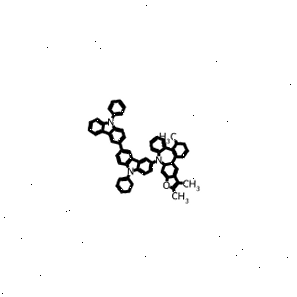 Cc1oc2c(c1C)=CC1C3=C(c4ccccc4N(c4ccc5c(c4)c4cc(-c6ccc7c(c6)c6ccccc6n7-c6ccccc6)ccc4n5C4=CC=CCC4)C1C=2)C(C)CC=C3